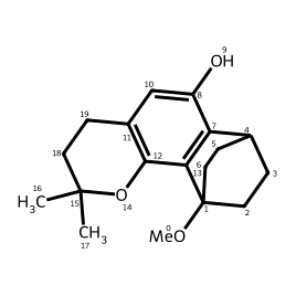 COC12CCC(CC1)c1c(O)cc3c(c12)OC(C)(C)CC3